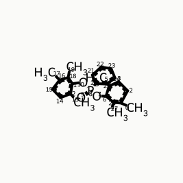 Cc1ccc(C)c(OP(=O)(Oc2c(C)ccc(C)c2C)c2ccccc2)c1C